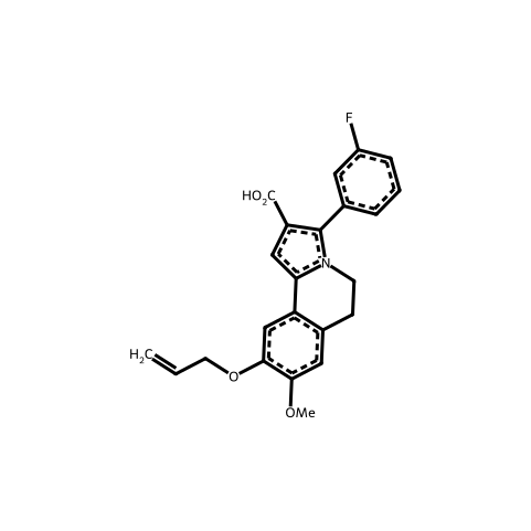 C=CCOc1cc2c(cc1OC)CCn1c-2cc(C(=O)O)c1-c1cccc(F)c1